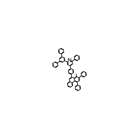 Cc1c(-c2ccccc2)cc(-c2ccccc2)c2c1c(-c1ccc(-c3cc(-c4ccccc4)nc(-c4cc(-c5ccccc5)cc(-c5ccccc5)c4)c3)cc1)cc1ccccc12